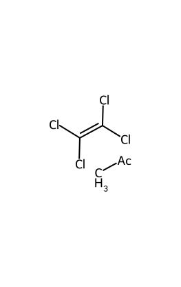 CC(C)=O.ClC(Cl)=C(Cl)Cl